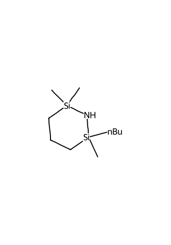 CCCC[Si]1(C)CCC[Si](C)(C)N1